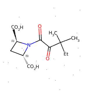 CCC(C)(C)C(=O)C(=O)N1[C@H](C(=O)O)C[C@H]1C(=O)O